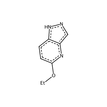 CCOc1ccc2[nH]ncc2n1